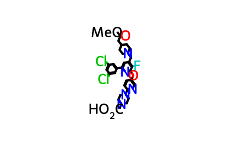 COC(=O)CC1CCN(Cc2cc(-c3cc(Cl)cc(Cl)c3)nc(Oc3ccc(N4CCN(C(=O)O)CC4)nc3)c2F)CC1